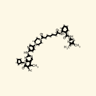 CC(=O)c1c(C)c2cnc(Nc3ccc(N4CCN(C(=O)CCCCCC(=O)Nc5ccccc5C(=O)Nc5nc(C)c(C)s5)CC4)cn3)nc2n(C2CCCC2)c1=O